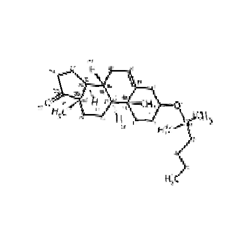 CCCC[Si](C)(C)OC1CC[C@@]2(C)C(=CC[C@@H]3[C@@H]2CC[C@]2(C)C(=O)CC[C@@H]32)C1